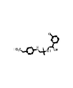 CC(C)(CNc1ccc(CC(=O)O)cc1)NCC(O)c1cccc(Cl)c1